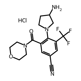 Cl.N#Cc1cc(C(=O)N2CCOCC2)c(N2CCC(N)C2)c(C(F)(F)F)c1